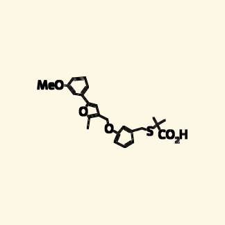 COc1cccc(-c2cc(COc3cccc(CSC(C)(C)C(=O)O)c3)c(C)o2)c1